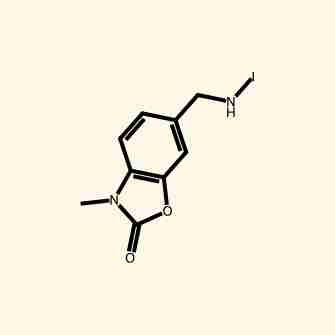 Cn1c(=O)oc2cc(CNI)ccc21